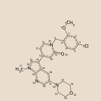 COc1cc(Cl)ccc1Cn1ccc(-c2cn(C)c3ncc(N4CCOCC4)cc23)cc1=O